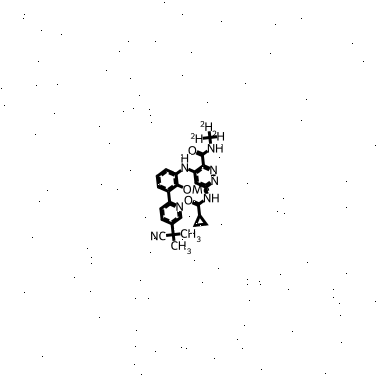 [2H]C([2H])([2H])NC(=O)c1nnc(NC(=O)C2CC2)cc1Nc1cccc(-c2ccc(C(C)(C)C#N)cn2)c1OC